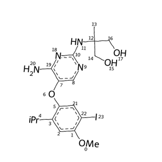 COc1cc(C(C)C)c(Oc2cnc(NC(C)(CO)CO)nc2N)cc1I